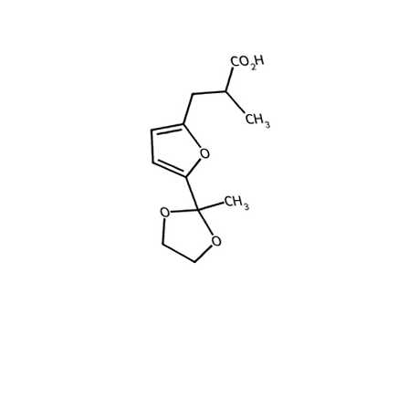 CC(Cc1ccc(C2(C)OCCO2)o1)C(=O)O